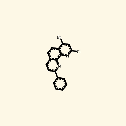 CCc1cc(Cl)nc2c1ccc1ccc(-c3ccccc3)nc12